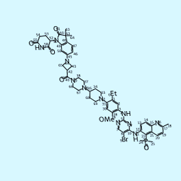 CCc1cc(Nc2ncc(Br)c(Nc3ccc4nc(C)ccc4c3P(C)(C)=O)n2)c(OC)cc1N1CCC(N2CCN(C(=O)C3CN(c4ccc5c(c4)N(C4CCC(=O)NC4=O)C(=O)C5(C)C)C3)CC2)CC1